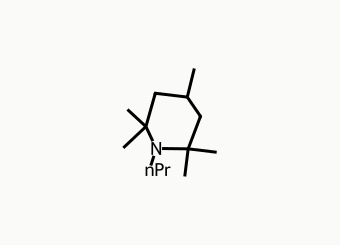 CCCN1C(C)(C)CC(C)CC1(C)C